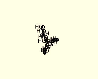 COc1cc2c(cc1OCc1cc(COc3cc4c(cc3OC)C(=O)N3c5ccccc5C[C@H]3CN4)cc(C(O)NCC(=O)NCC(=O)NCC(=O)NCCC(=O)O)c1)N=C[C@@H]1Cc3ccccc3N1C2=O